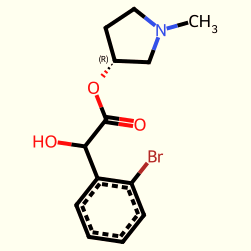 CN1CC[C@@H](OC(=O)C(O)c2ccccc2Br)C1